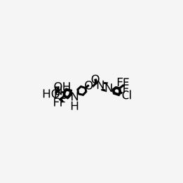 O=C(COC1CCC(Nc2ccc(N(O)O)c(C(F)(F)F)c2)CC1)N1CCN(c2ccc(Cl)c(C(F)(F)F)c2)CC1